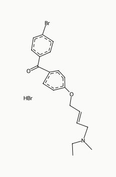 Br.CCN(C)CC=CCOc1ccc(C(=O)c2ccc(Br)cc2)cc1